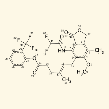 COc1c(C)c2c(c(NC(=O)C(F)F)c1C/C=C(\C)CCC(=O)Oc1ccccc1C(F)(F)F)C(=O)OC2